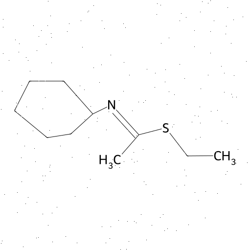 CCS/C(C)=N/C1CCCCC1